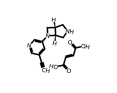 C#Cc1cncc(N2C[C@@H]3CNC[C@@H]32)c1.O=C(O)/C=C/C(=O)O